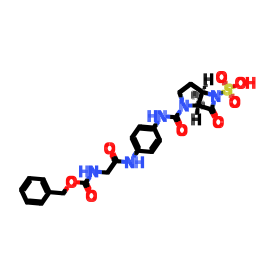 O=C(CNC(=O)OCc1ccccc1)Nc1ccc(NC(=O)N2CC[C@@H]3[C@@H]2C(=O)N3S(=O)(=O)O)cc1